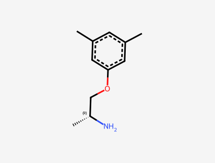 Cc1cc(C)cc(OC[C@@H](C)N)c1